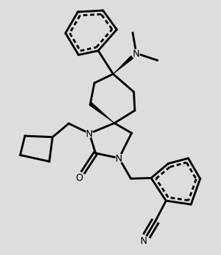 CN(C)[C@]1(c2ccccc2)CC[C@@]2(CC1)CN(Cc1ccccc1C#N)C(=O)N2CC1CCC1